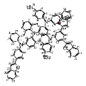 Cc1cccc(C)c1N1c2cc(N(c3ccccc3)c3ccc(-c4cc5ccccc5o4)cc3)ccc2B2c3cc(C(C)(C)C)ccc3N(c3cc(-c4cc5ccccc5o4)cc(-c4cc5ccccc5o4)c3)c3cc(N(c4ccc(C(C)(C)C)cc4)c4ccc(C(C)(C)C)cc4)cc1c32